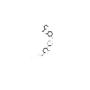 CNC(=O)c1ccc(C2=CCN(Cc3ccc4c(c3)[nH]c(=O)c3cccn34)CC2)c(F)n1